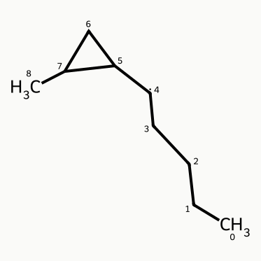 CCCC[CH]C1CC1C